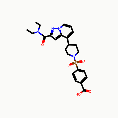 CCN(CC)C(=O)c1cc2c(C3CCN(S(=O)(=O)c4ccc(C(=O)O)cc4)CC3)cccn2n1